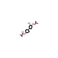 C=C(C)COc1ccc(-c2ccc(OC(=O)C(=C)C)cc2)cc1SC